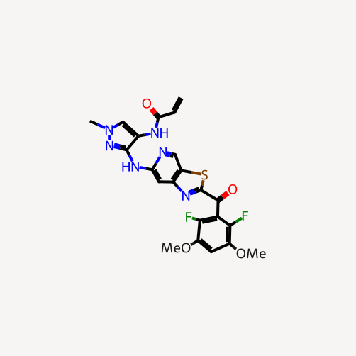 C=CC(=O)Nc1cn(C)nc1Nc1cc2nc(C(=O)c3c(F)c(OC)cc(OC)c3F)sc2cn1